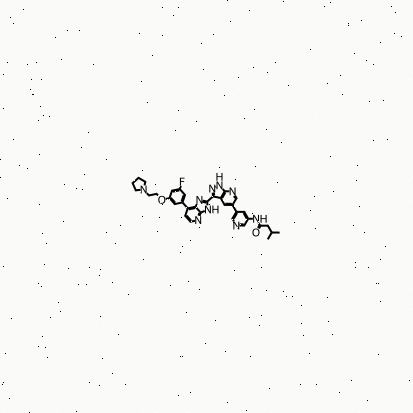 CC(C)CC(=O)Nc1cncc(-c2cnc3[nH]nc(-c4nc5c(-c6cc(F)cc(OCCN7CCCC7)c6)ccnc5[nH]4)c3c2)c1